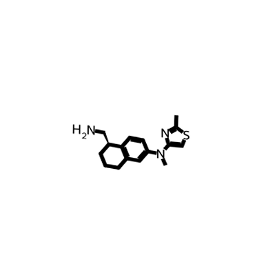 Cc1nc(N(C)c2ccc3c(c2)CCC[C@H]3CN)cs1